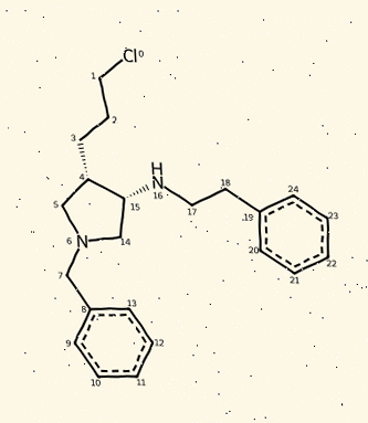 ClCCC[C@H]1CN(Cc2ccccc2)C[C@H]1NCCc1ccccc1